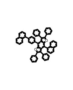 c1ccc(-c2oc3c(-c4cccc5ccccc45)c4c(-c5ccccc5)c(-c5ccccc5)oc4c(-c4ccc(-c5cccc6ccccc56)cc4)c3c2-c2ccccc2)cc1